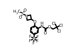 CS(=O)(=O)N1CC(Oc2ccc(S(F)(F)(F)(F)F)cc2NC(=O)OCC(Cl)(Cl)Cl)C1